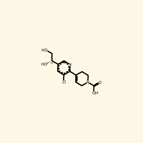 O=C(O)N1CC=C(c2ncc([C@H](O)CO)cc2Cl)CC1